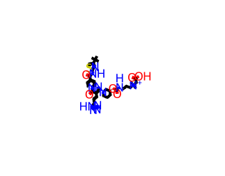 CC(C)(C)c1csc(NC(=O)c2ccn3c(=O)c(C=Cc4nnn[nH]4)c(N4CCC[C@@H](OC(=O)NCCC[N+](C)(C)CC(=O)O)C4)nc3c2)n1